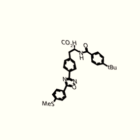 CSc1ccc(-c2nc(-c3ccc(C[C@H](NC(=O)c4ccc(C(C)(C)C)cc4)C(=O)O)cc3)no2)cc1